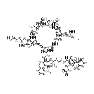 CC1(C)C(/C=C/C=C/C=C/C=C2/N(CCC(=O)NC3CSSCC(C(=O)NC(CCCCN)C(=O)O)NC(=O)C4CCCN4C(=O)C(CO)NC(=O)C(CC(=O)O)NC(=O)C(CCCNC(=N)N)NC(=O)CNC3=O)c3ccc4ccccc4c3C2(C)C)=[N+](CCC(=O)[O-])c2ccc3ccccc3c21